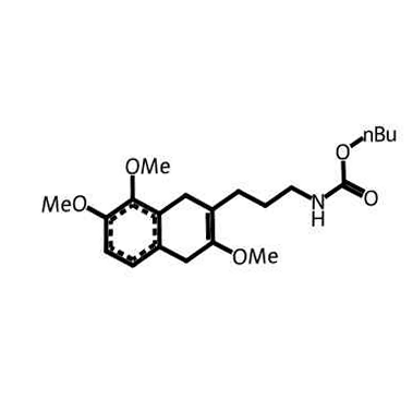 CCCCOC(=O)NCCCC1=C(OC)Cc2ccc(OC)c(OC)c2C1